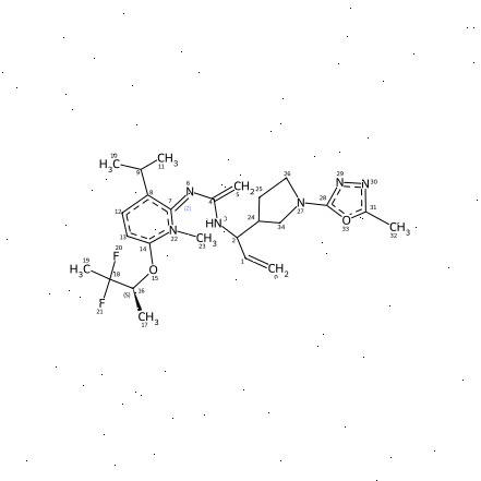 C=CC(NC(=C)/N=c1/c(C(C)C)ccc(O[C@@H](C)C(C)(F)F)n1C)C1CCN(c2nnc(C)o2)C1